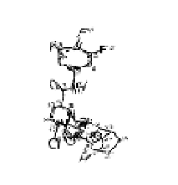 O=C(Nc1cc(F)c(F)c(F)c1)c1ccc(Cl)c(S(=O)(=O)[C@@H]2CC3CC[C@@H](C2)[C@@]3(O)Cc2nnn[nH]2)c1